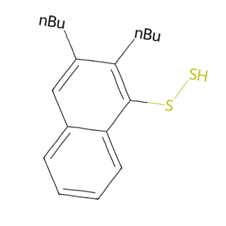 CCCCc1cc2ccccc2c(SS)c1CCCC